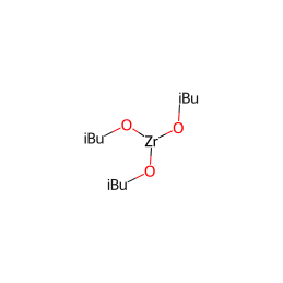 CCC(C)[O][Zr]([O]C(C)CC)[O]C(C)CC